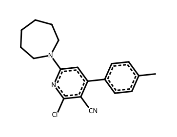 Cc1ccc(-c2cc(N3CCCCCC3)nc(Cl)c2C#N)cc1